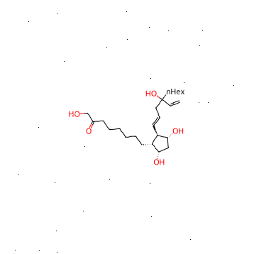 C=CC(O)(CC=C[C@@H]1[C@@H](CCCCCCC(=O)CO)[C@@H](O)C[C@H]1O)CCCCCC